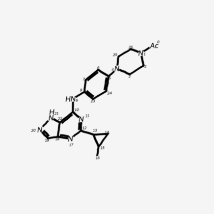 CC(=O)N1CCN(c2ccc(Nc3nc(C4CC4C)nc4cn[nH]c34)cc2)CC1